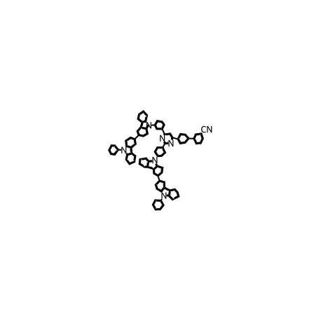 N#Cc1cccc(-c2ccc(-c3cc(-c4cccc(-n5c6ccccc6c6cc(-c7ccc8c(c7)c7ccccc7n8-c7ccccc7)ccc65)c4)nc(-c4ccc(-n5c6ccccc6c6cc(-c7ccc8c(c7)c7ccccc7n8-c7ccccc7)ccc65)cc4)n3)cc2)c1